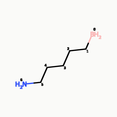 BCCCCCN